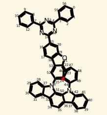 c1ccc(-c2nc(-c3ccccc3)nc(-c3ccc4c(c3)oc3ccc(-n5c6ccccc6c6ccc7c8ccccc8n(-c8ccccc8)c7c65)cc34)n2)cc1